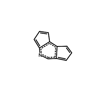 C1=Cc2c3c(ncc2=C1)=CC=C3